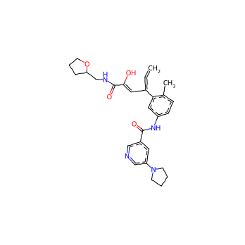 C=C=C(/C=C(\O)C(=O)NCC1CCCO1)c1cc(NC(=O)c2cncc(N3CCCC3)c2)ccc1C